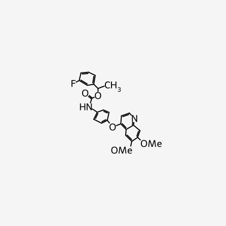 COc1cc2nccc(Oc3ccc(NC(=O)OC(C)c4cccc(F)c4)cc3)c2cc1OC